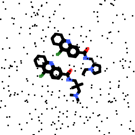 CCN1CCC[C@H]1CNC(=O)c1ccc2c(Cl)c3c(nc2c1)CCCC3.CN(C)CC(C)(C)CNC(=O)c1ccc2c(Cl)c3c(nc2c1)CCCC3